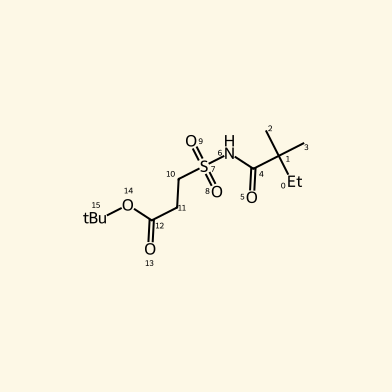 CCC(C)(C)C(=O)NS(=O)(=O)CCC(=O)OC(C)(C)C